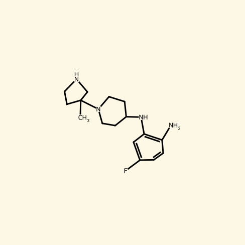 CC1(N2CCC(Nc3cc(F)ccc3N)CC2)CCNC1